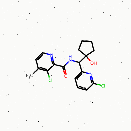 O=C(NC(c1cccc(Cl)n1)C1(O)CCCC1)c1nccc(C(F)(F)F)c1Cl